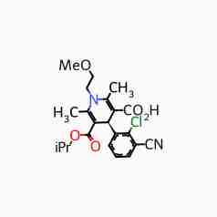 COCCN1C(C)=C(C(=O)O)[C@@H](c2cccc(C#N)c2Cl)C(C(=O)OC(C)C)=C1C